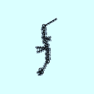 C#CC#CC#CC#CC#COc1ccc(-c2ccc(-c3ccc4c(c3)C(CCC)(CCC)c3cc(-c5ccc6c(c5)C(CCCCCCC)(CCCCCCC)c5cc(-c7ccc(-c8ccc(OCCCCCCCCC(=O)OC(C=C)C=C)cc8)cc7)ccc5-6)ccc3-4)cc2)cc1